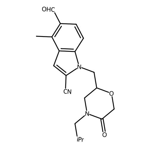 Cc1c(C=O)ccc2c1cc(C#N)n2CC1CN(CC(C)C)C(=O)CO1